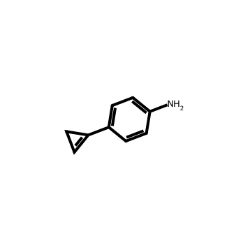 Nc1ccc(C2=CC2)cc1